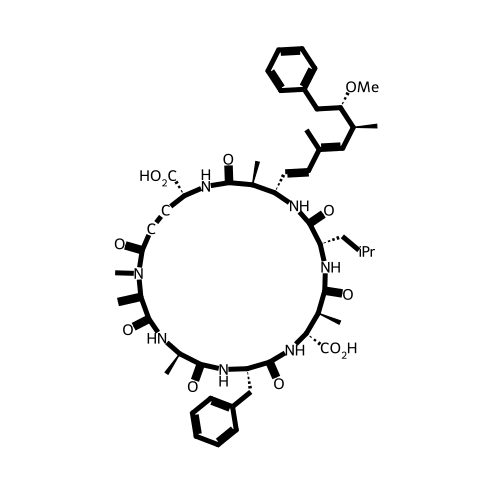 C=C1C(=O)N[C@H](C)C(=O)N[C@@H](Cc2ccccc2)C(=O)N[C@@H](C(=O)O)[C@H](C)C(=O)N[C@@H](CC(C)C)C(=O)N[C@@H](/C=C/C(C)=C/[C@H](C)[C@H](Cc2ccccc2)OC)[C@H](C)C(=O)N[C@@H](C(=O)O)CCC(=O)N1C